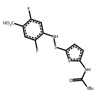 CC(C)(C)C(=O)Nc1ccc(SNc2cc(F)c(C(=O)O)cc2F)s1